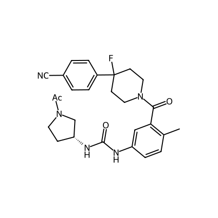 CC(=O)N1CC[C@@H](NC(=O)Nc2ccc(C)c(C(=O)N3CCC(F)(c4ccc(C#N)cc4)CC3)c2)C1